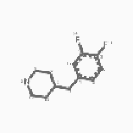 Fc1ccc(CC2CC[N]CC2)cc1F